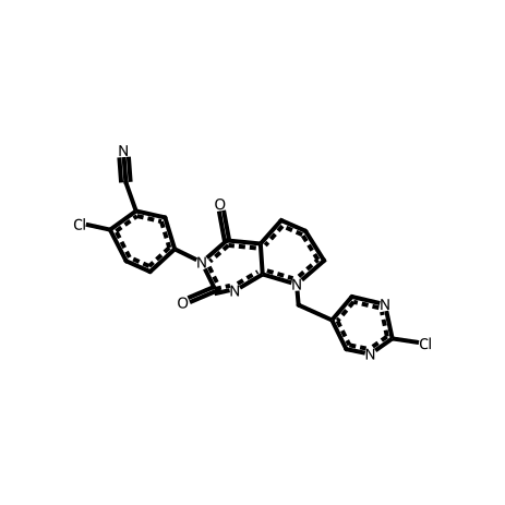 N#Cc1cc(-n2c(=O)nc3n(Cc4cnc(Cl)nc4)cccc-3c2=O)ccc1Cl